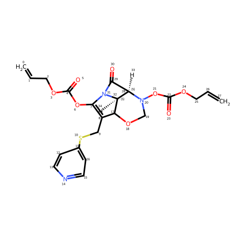 C=CCOC(=O)OC1=C(CSc2ccncc2)C2OCN(OC(=O)OCC=C)[C@@H]3C(=O)N1[C@H]23